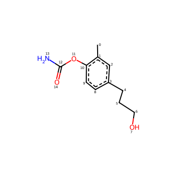 Cc1cc(CCCO)ccc1OC(N)=O